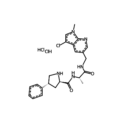 C[C@H](NC(=O)[C@H]1C[C@H](c2ccccc2)CN1)C(=O)NCc1cnc2c(c1)c(Cl)cn2C.Cl.Cl